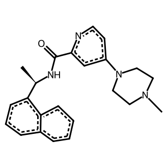 C[C@@H](NC(=O)c1cc(N2CCN(C)CC2)ccn1)c1cccc2ccccc12